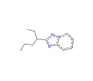 CCCC(CC)c1nc2ccccn2n1